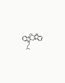 CC(C)CCn1c(Cn2c(Cl)nc3ccccc32)nc2ccccc21